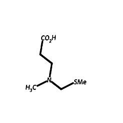 CSCN(C)CCC(=O)O